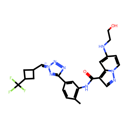 Cc1ccc(C2=N/[N+](=C\C3CC(C(F)(F)F)C3)N=N2)cc1NC(=O)c1cnn2ccc(NCCO)cc12